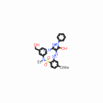 CCN(c1cccc(CO)c1)S(=O)(=O)c1ccc(OC)cc1/N=N/c1c(N)nn(-c2ccccc2)c1O